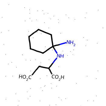 NC1(NC(CC(=O)O)C(=O)O)CCCCC1